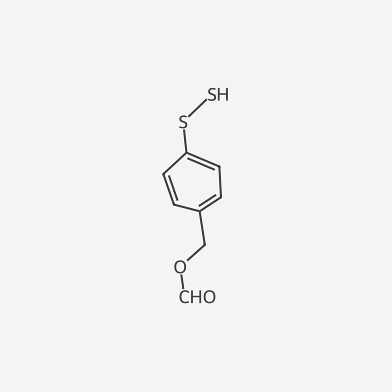 O=COCc1ccc(SS)cc1